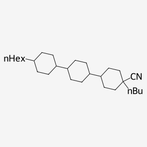 CCCCCCC1CCC(C2CCC(C3CCC(C#N)(CCCC)CC3)CC2)CC1